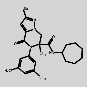 Cc1cc(C)cc(N2C(=O)c3cc(C(C)(C)C)nn3CC2(C)C(=O)NC2CCCCCC2)c1